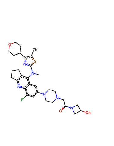 CN(c1nc(C2CCOCC2)c(C#N)s1)c1c2c(nc3c(F)cc(N4CCN(CC(=O)N5CC(O)C5)CC4)cc13)CCC2